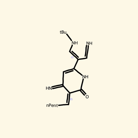 CCCCC/C=C1\C(=N)C=C(/C(C=N)=C/NC(C)(C)C)NC1=O